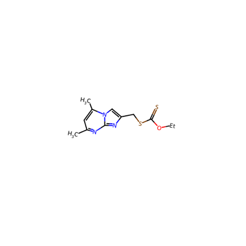 CCOC(=S)SCc1cn2c(C)cc(C)nc2n1